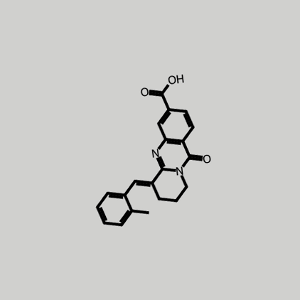 Cc1ccccc1C=C1CCCn2c1nc1cc(C(=O)O)ccc1c2=O